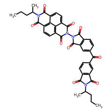 CCCC(C)N1C(=O)c2ccc(C(=O)c3ccc4c(c3)C(=O)N(N3C(=O)c5ccc6c7c(ccc(c57)C3=O)C(=O)N(C(C)CCC)C6=O)C4=O)cc2C1=O